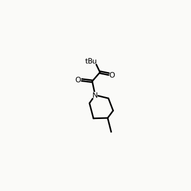 CC1CCN(C(=O)C(=O)C(C)(C)C)CC1